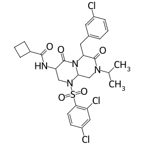 CC(C)N1CC2N(C(=O)C(NC(=O)C3CCC3)CN2S(=O)(=O)c2ccc(Cl)cc2Cl)C(Cc2cccc(Cl)c2)C1=O